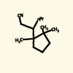 CCCC(CC#N)C1(C)CCCC1(C)C